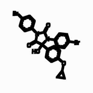 O=C1N(c2ccc(Br)cc2)C(=O)C(O)(c2ccc(OC3CC3)cc2)N1c1ccc(Br)cc1